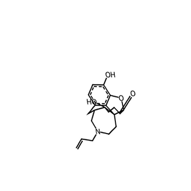 C=CCN1CCC23c4c5ccc(O)c4OC2C(=O)CCC3(O)C(C5)C1